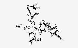 CCC1CC2C=CC1C2.O=C(O)C(=Cc1ccc(Oc2ccc(F)cc2)cc1)OCc1ccccc1